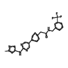 Cn1cc(Nc2ncc(-c3ccc(CC(=O)NCc4cccc(C(F)(F)F)c4)cc3)cn2)cn1